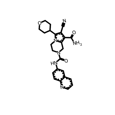 N#Cc1c(C(N)=O)c2n(c1C1CCOCC1)CCN(C(=O)Nc1ccc3ncccc3c1)C2